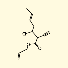 C=CCOC(=O)C(C#N)C(Cl)CC=CC